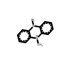 CC(=O)N1c2ccccc2[SiH](C)c2ccccc21